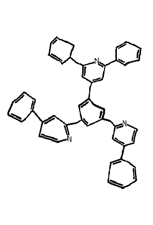 C1=CCC(c2cc(-c3cc(-c4cc(-c5ccccc5)ccn4)cc(-c4cc(-c5ccccc5)ccn4)c3)cc(-c3ccccc3)n2)C=C1